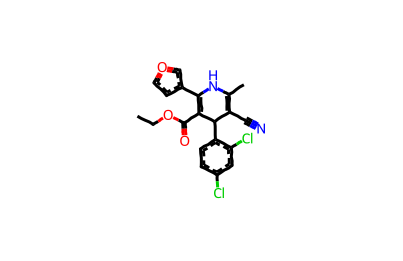 CCOC(=O)C1=C(c2ccoc2)NC(C)=C(C#N)C1c1ccc(Cl)cc1Cl